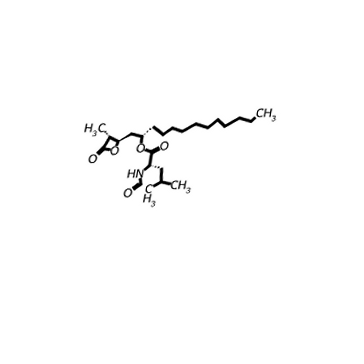 CCCCCCCCCCC[C@@H](C[C@H]1OC(=O)[C@@H]1C)OC(=O)[C@H](CC(C)C)NC=O